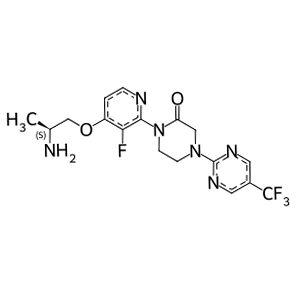 C[C@H](N)COc1ccnc(N2CCN(c3ncc(C(F)(F)F)cn3)CC2=O)c1F